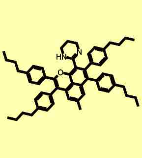 CCCCc1ccc(C2=C(c3ccc(CCCC)cc3)c3cc(C)cc4c(-c5ccc(CCCC)cc5)c(-c5ccc(CCCC)cc5)c(C5=NCCCN5)c(c34)O2)cc1